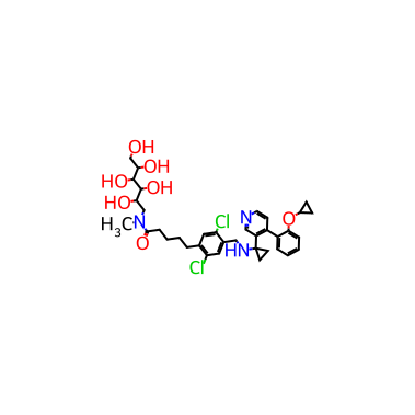 CN(CC(O)C(O)C(O)C(O)CO)C(=O)CCCCc1cc(Cl)c(CNC2(c3cnccc3-c3ccccc3OC3CC3)CC2)cc1Cl